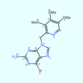 COc1cnc(Cn2cnc3c(Br)nc(N)nc32)c(OC)c1OC